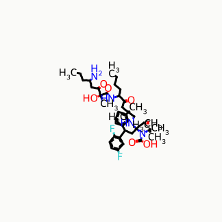 CCCCC(NC(=O)C(C)(O)C(=O)CC(N)CCC)C(=O)CC(C)(C)CNC(CC)(CC(c1ccccc1)c1cc(F)ccc1F)N(C(=O)O)C(C)(C)C